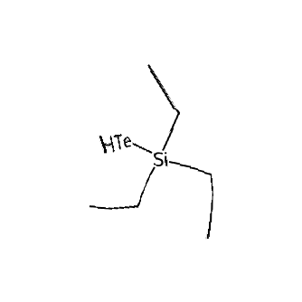 CC[Si]([TeH])(CC)CC